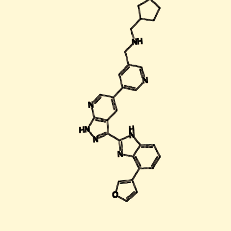 c1cc(-c2ccoc2)c2nc(-c3n[nH]c4ncc(-c5cncc(CNCC6CCCC6)c5)cc34)[nH]c2c1